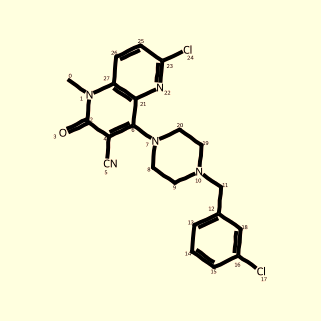 Cn1c(=O)c(C#N)c(N2CCN(Cc3cccc(Cl)c3)CC2)c2nc(Cl)ccc21